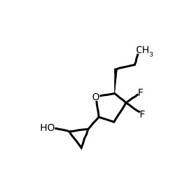 CCC[C@@H]1OC(C2CC2O)CC1(F)F